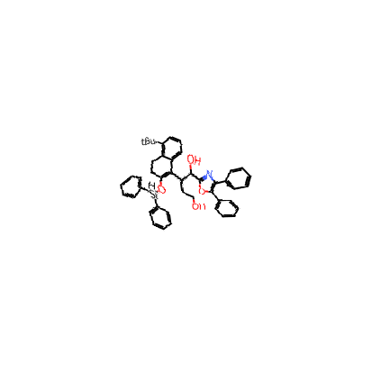 CC(C)(C)c1cccc2c1CCC(O[SiH](c1ccccc1)c1ccccc1)=C2C(CCO)C(O)c1nc(-c2ccccc2)c(-c2ccccc2)o1